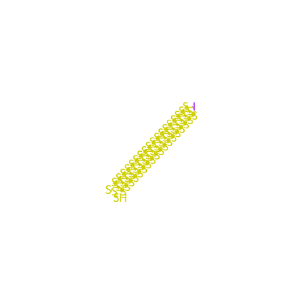 S=S(S)S(=S)(=S)S(=S)(=S)S(=S)(=S)S(=S)(=S)S(=S)(=S)S(=S)(=S)S(=S)(=S)S(=S)(=S)S(=S)(=S)S(=S)(=S)S(=S)(=S)S(=S)(=S)S(=S)(=S)S(=S)(=S)S(=S)(=S)S(=S)(=S)S(=S)(=S)S(=S)(=S)I